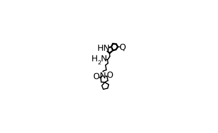 COc1ccc2[nH]cc(CC(N)CCCCN3C(=O)CC4(CCCC4)CC3=O)c2c1